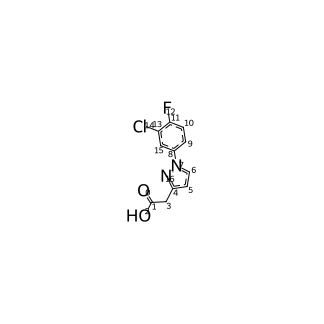 O=C(O)Cc1ccn(-c2ccc(F)c(Cl)c2)n1